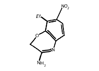 CCc1c([N+](=O)[O-])ccc2c1OCC(N)=N2